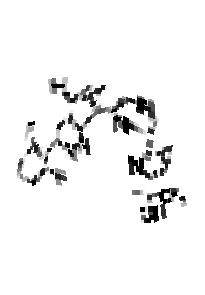 CC(O)(c1coc(-c2cncc([C@@]34CC[C@@H](c5cc(-c6c(F)cccc6F)nnc53)C4(C)C)n2)n1)C(F)(F)F